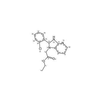 CCOC(=O)CN1c2cccnc2NC1c1ccccc1Cl